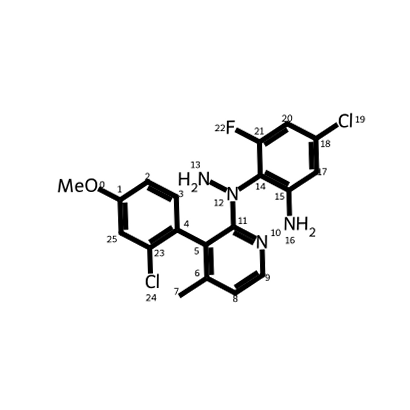 COc1ccc(-c2c(C)ccnc2N(N)c2c(N)cc(Cl)cc2F)c(Cl)c1